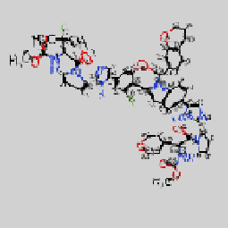 COC(=O)NC(C(=O)N1CCC[C@H]1c1ncc(-c2cc(F)c3c(c2)OC(c2ccc4c(c2)OCCC4)n2c-3cc3cc(-c4cnc([C@@H]5CCCN5C(=O)[C@@H](NC(=O)OC)C5CCOCC5)[nH]4)ccc32)[nH]1)C(C)(C)F